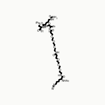 CCC(=O)C(CSC(C)C)NC(=O)C(CCCNC(N)=O)NC(=O)C(NC(=O)CCOCCOCCOCCNC(=O)CCOCCOCCOCCNC(=O)C(CCCCN=[N+]=[N-])NC(C)=O)C(C)C